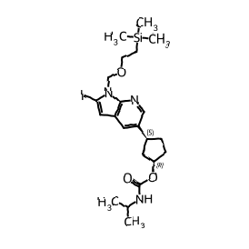 CC(C)NC(=O)O[C@@H]1CC[C@H](c2cnc3c(c2)cc(I)n3COCC[Si](C)(C)C)C1